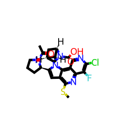 CSc1nc2c(F)c(Cl)ncc2c2c1cc([C@H]1CCCN1C(C)=O)n2[C@H]1[C@@H]2C[C@H]1N(C(=O)O)C2